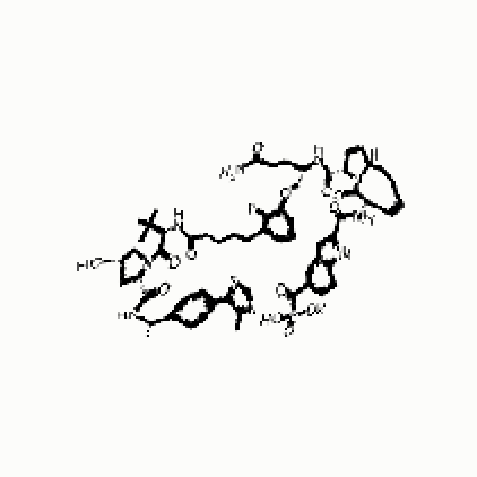 Cc1ncsc1-c1ccc([C@H](C)NC(=O)[C@@H]2C[C@@H](O)CN2C(=O)[C@@H](NC(=O)CCCCc2cccc(OC[C@H](CCC(N)=O)NC(=O)[C@@H]3CC[C@@H]4CCCC[C@H](NC(=O)c5cc6cc(C(=O)P(=O)(O)O)ccc6[nH]5)C(=O)N43)c2F)C(C)(C)C)cc1